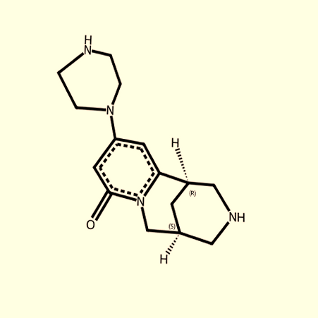 O=c1cc(N2CCNCC2)cc2n1C[C@@H]1CNC[C@H]2C1